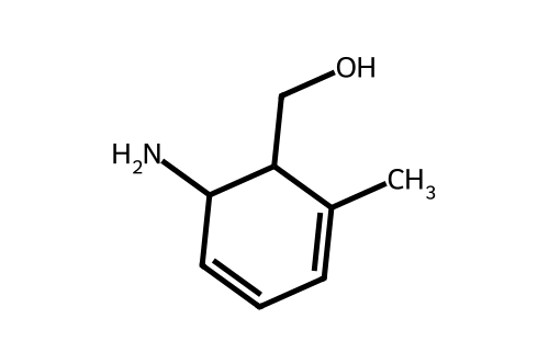 CC1=CC=CC(N)C1CO